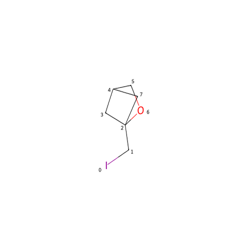 ICC12CC(CO1)C2